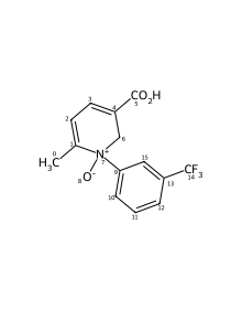 CC1=CC=C(C(=O)O)C[N+]1([O-])c1cccc(C(F)(F)F)c1